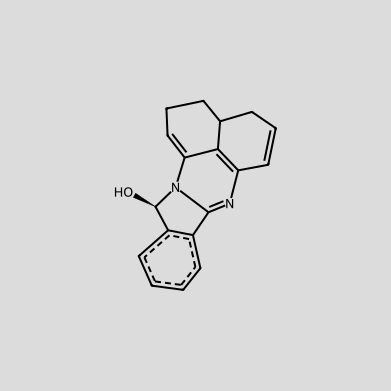 O[C@@H]1c2ccccc2C2=NC3=C4C(=CCCC4CC=C3)N21